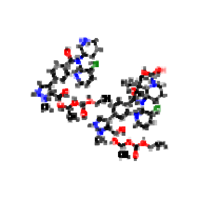 CCOC(=O)OC(C)OC(=O)c1c(-c2ccc(C(=O)N(c3ncccc3Cl)[C@@H]3CCCN(C(=O)O)C3C(C)(C)C)cc2)cnn1C.CCOC(=O)OC(C)OC(=O)c1c(-c2ccc(C(=O)N(c3ncccc3Cl)[C@@H]3CCCNC3)cc2)cnn1C